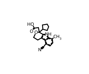 Cc1ccc(C#N)c2c3c([nH]c12)C(CC(=O)O)(C1CCCC1)OCC3